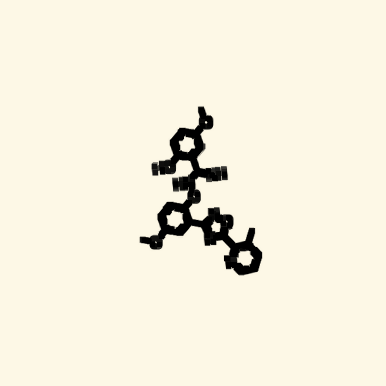 COc1ccc(O)c(C(=N)NOc2ccc(OC)cc2-c2noc(-c3ncccc3C)n2)c1